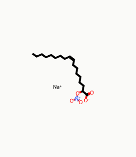 CCCCCCCC/C=C\CCCCCCC(O[N+](=O)[O-])C(=O)[O-].[Na+]